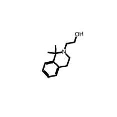 CC1(C)c2c[c]ccc2CCN1CCO